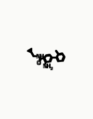 Cc1ccccc1-c1ccc(C(=O)NCC2CC2)c(N)c1